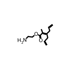 C=CCC(CC=C)=C(C)C(=O)OCCN